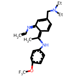 C=C/N=C1/C=C(CN(CC)CC)C=C/C1=C(/C)Nc1ccc(OC(F)(F)F)cc1